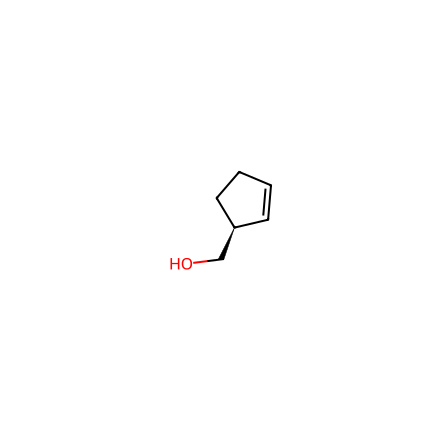 OC[C@@H]1C=CCC1